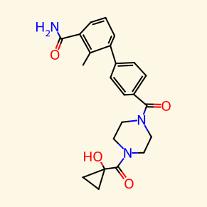 Cc1c(C(N)=O)cccc1-c1ccc(C(=O)N2CCN(C(=O)C3(O)CC3)CC2)cc1